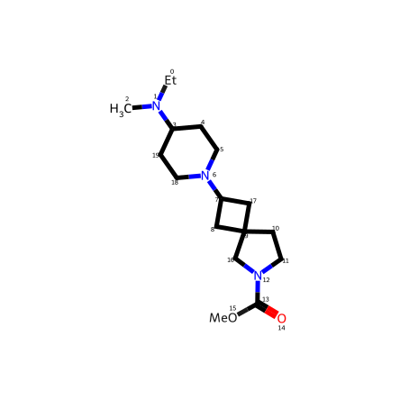 CCN(C)C1CCN(C2CC3(CCN(C(=O)OC)C3)C2)CC1